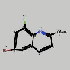 COc1ccc2cc(Br)cc(F)c2n1